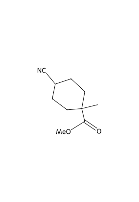 COC(=O)C1(C)CCC(C#N)CC1